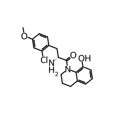 COc1ccc(C[C@@H](N)C(=O)N2CCCc3cccc(O)c32)c(Cl)c1